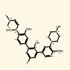 CSc1cc(-c2cc(F)cc(-c3cnc(SC)c(N4CCN(C(C)C)CC4)c3)c2O)ccc1N(C=O)/C=C\N(C)C